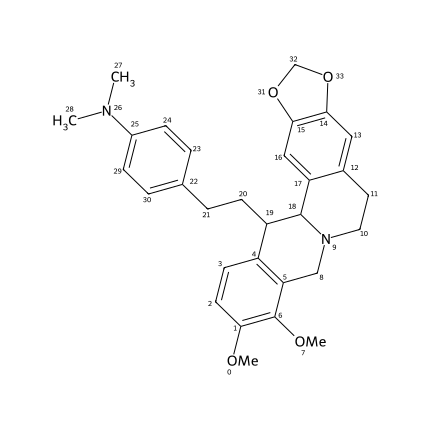 COc1ccc2c(c1OC)CN1CCc3cc4c(cc3C1C2CCc1ccc(N(C)C)cc1)OCO4